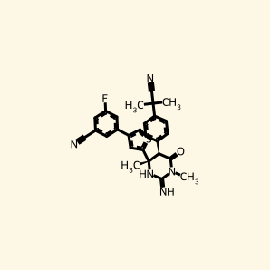 CN1C(=N)N[C@](C)(c2cc(-c3cc(F)cc(C#N)c3)cs2)[C@@H](c2ccc(C(C)(C)C#N)cc2)C1=O